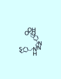 O=C(O)C1Cc2cc(-c3cc(NCCc4ccc5sccc5c4)ncn3)ccc2O1